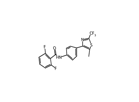 Cc1sc(C(F)(F)F)nc1-c1ccc(NC(=O)c2c(F)cccc2F)cc1